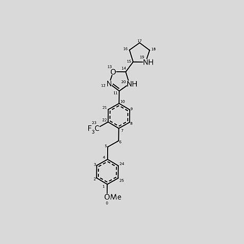 COc1ccc(CCc2ccc(C3=NOC(C4CCCN4)N3)cc2C(F)(F)F)cc1